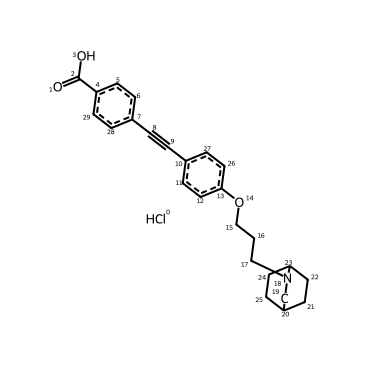 Cl.O=C(O)c1ccc(C#Cc2ccc(OCCCN3CC4CCC3CC4)cc2)cc1